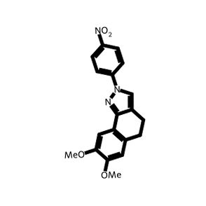 COc1cc2c(cc1OC)-c1nn(-c3ccc([N+](=O)[O-])cc3)cc1CC2